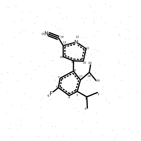 CC(C)c1cc(F)cc(-c2ccnc(C#N)c2)c1C(C)C